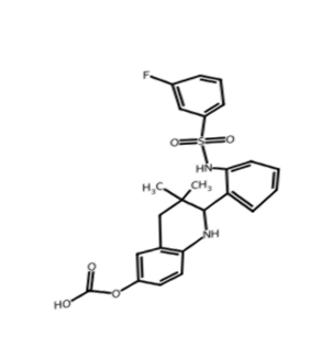 CC1(C)Cc2cc(OC(=O)O)ccc2NC1c1ccccc1NS(=O)(=O)c1cccc(F)c1